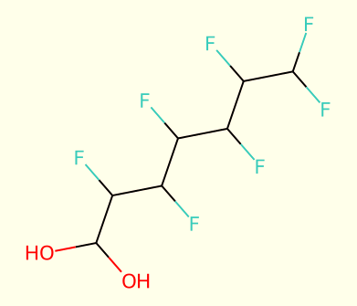 OC(O)C(F)C(F)C(F)C(F)C(F)C(F)F